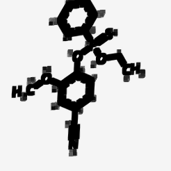 CCOP(=S)(Oc1ccc(C#N)cc1OC)c1ccccc1